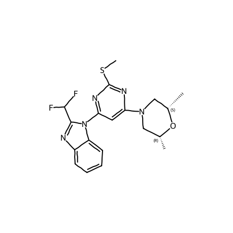 CSc1nc(N2C[C@@H](C)O[C@@H](C)C2)cc(-n2c(C(F)F)nc3ccccc32)n1